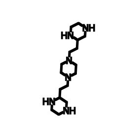 C1CNC(CCN2CCN(CCC3CNCCN3)CC2)CN1